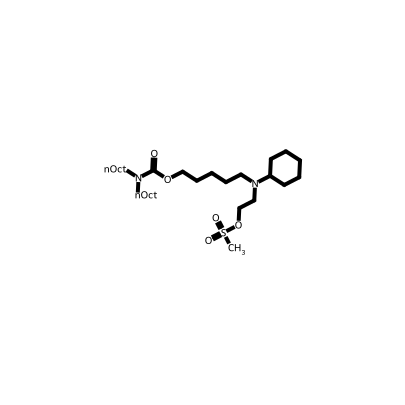 CCCCCCCCN(CCCCCCCC)C(=O)OCCCCCN(CCOS(C)(=O)=O)C1CCCCC1